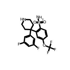 NS(=O)(=O)c1ccc(OC(F)(F)F)cc1C1(c2cc(F)cc(F)c2)CCNCC1